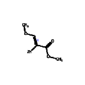 CO/C=[C](\[Zn])C(=O)OC